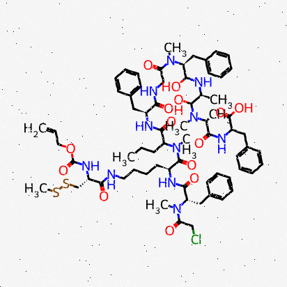 C=CCOC(=O)N[C@@H](CSSC)C(=O)NCCCC[C@H](NC(=O)[C@H](Cc1ccccc1)N(C)C(=O)CCl)C(=O)N(C)C(CCC)C(=O)N[C@@H](Cc1ccccc1)C(=O)NCC(=O)N(C)[C@@H](Cc1ccccc1)C(O)N[C@@H](C)C(O)N(C)[C@@H](C)C(=O)NC(Cc1ccccc1)C(=O)O